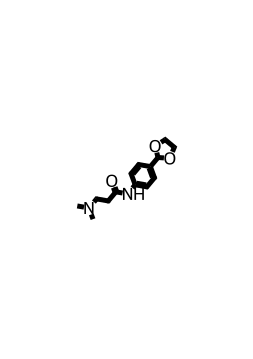 CN(C)CCC(=O)Nc1ccc(C2OCCO2)cc1